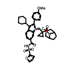 COc1ccc(-c2c(C3CCCCC3)c3ccc(C(=O)NS(=O)(=O)c4ccco4)cc3n2CC2(C(=O)N3C4CCC3CN(C)C4)CC2)cc1